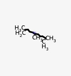 C=C(C)CC/C=C(\C)CCCC(C)C